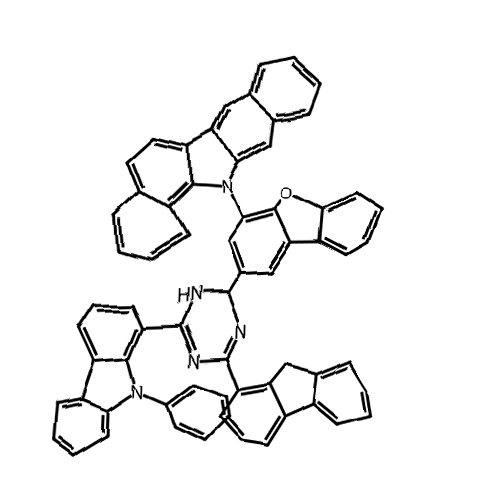 c1ccc(-n2c3ccccc3c3cccc(C4=NC(c5cccc6c5Cc5ccccc5-6)=NC(c5cc(-n6c7cc8ccccc8cc7c7ccc8ccccc8c76)c6oc7ccccc7c6c5)N4)c32)cc1